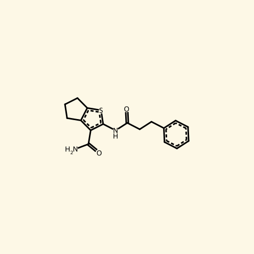 NC(=O)c1c(NC(=O)CCc2ccccc2)sc2c1CCC2